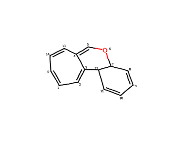 C1=CC=C2C(=COC3C=CC=CC23)C=C1